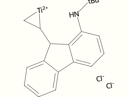 CC(C)(C)Nc1cccc2c1C([CH]1[CH2][Ti+2]1)c1ccccc1-2.[Cl-].[Cl-]